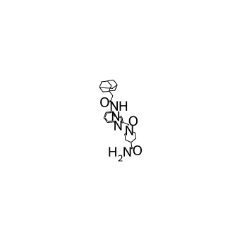 NC(=O)C1CCN(C(=O)c2cn3c(NC(=O)CC45CC6CC(CC(C6)C4)C5)cccc3n2)CC1